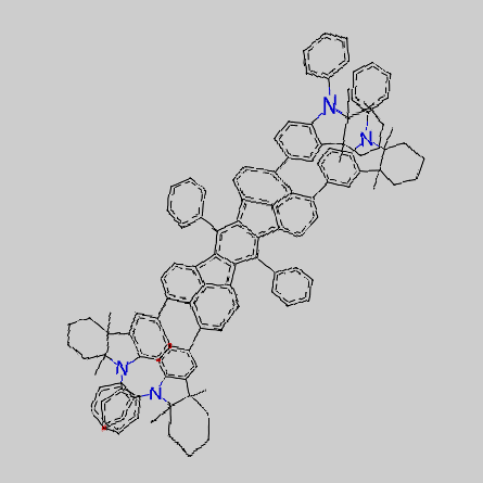 CC12CCCCC1(C)N(c1ccccc1)c1ccc(-c3ccc4c5c(-c6ccccc6)c6c7ccc(-c8ccc9c(c8)C8(C)CCCCC8(C)N9c8ccccc8)c8c(-c9ccc%10c(c9)C9(C)CCCCC9(C)N%10c9ccccc9)ccc(c6c(-c6ccccc6)c5c5ccc(-c6ccc9c(c6)C6(C)CCCCC6(C)N9c6ccccc6)c3c45)c87)cc12